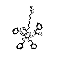 [N-]=[N+]=NCCCCCCC(O)[C@H]1O[C@@H](OC(=Nc2ccccc2)C(F)(F)F)[C@H](OCc2ccccc2)[C@@H](OCc2ccccc2)[C@H]1OCc1ccccc1